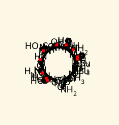 CCCC[C@H]1CN(C)[C@@H](CCCC)C(=O)N[C@@H](C)C(=O)N[C@H](C(=O)NCC(N)=O)CSCC(=O)N[C@@H](Cc2ccc(O)cc2)C(=O)N(C)[C@@H](C)C(=O)N[C@@H](CC(N)=O)C(=O)N2CCC[C@H]2C(=O)N[C@@H](Cc2cnc[nH]2)C(=O)N[C@@H](CCC(=O)O)C(=O)N2C[C@H](O)C[C@H]2C(=O)N[C@@H](Cc2c[nH]c3ccccc23)C(=O)N[C@@H](CCN)C(=O)N[C@@H](Cc2c[nH]c3ccccc23)C(=O)N1C